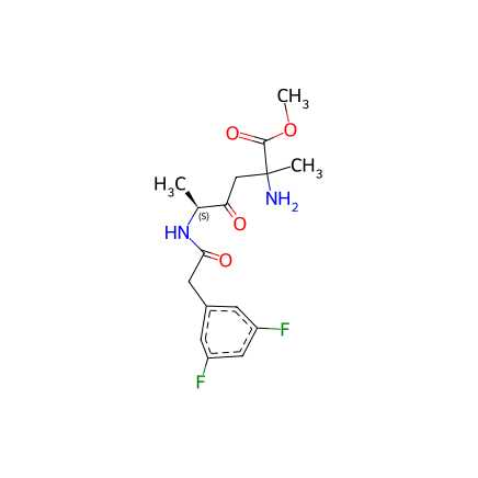 COC(=O)C(C)(N)CC(=O)[C@H](C)NC(=O)Cc1cc(F)cc(F)c1